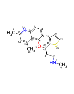 CNCC[C@@H](Oc1cccc2nc(C)cc(C)c12)c1cccs1